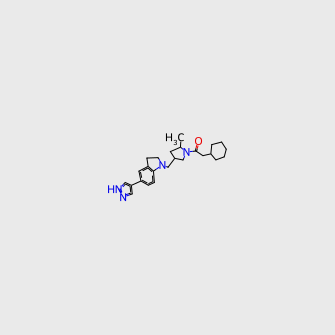 CC1CC(CN2CCc3cc(-c4cn[nH]c4)ccc32)CN1C(=O)CC1CCCCC1